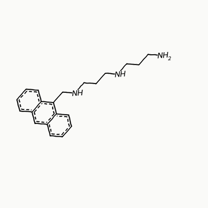 NCCCNCCCNCc1c2ccccc2cc2ccccc12